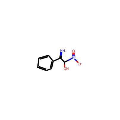 N=C(c1ccccc1)C(O)[N+](=O)[O-]